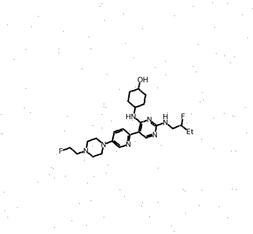 CCC(F)CNc1ncc(-c2ccc(N3CCN(CCF)CC3)cn2)c(NC2CCC(O)CC2)n1